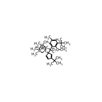 COc1c(C(C)(C)C)cc(C)cc1C(C)(C)[C]1([Y]([CH2][Si](C)(C)C)[CH2][Si](C)(C)C)C=CC(C(C)(C)C)=C1